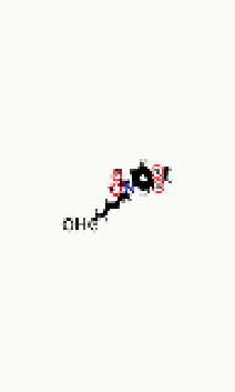 O=CCCCCC1CN(c2ccc3c(c2)OCCO3)C(=O)O1